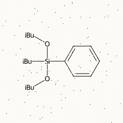 CCC(C)O[Si](OC(C)CC)(c1ccccc1)C(C)CC